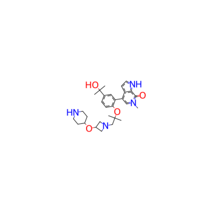 Cn1cc(-c2cc(C(C)(C)O)ccc2OC(C)(C)CN2CC(OC3CCNCC3)C2)c2cc[nH]c2c1=O